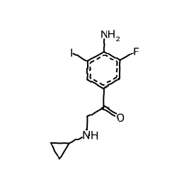 Nc1c(F)cc(C(=O)CNC2CC2)cc1I